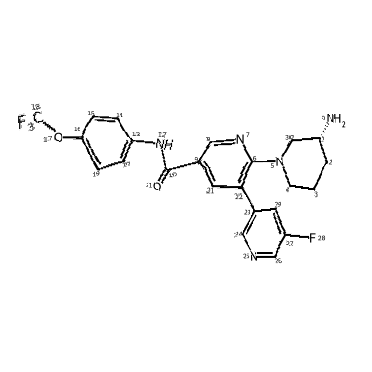 N[C@@H]1CCCN(c2ncc(C(=O)Nc3ccc(OC(F)(F)F)cc3)cc2-c2cncc(F)c2)C1